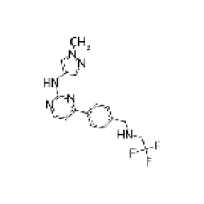 Cn1cc(Nc2nccc(-c3ccc(CNCC(F)(F)F)cc3)n2)cn1